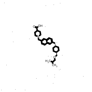 CC(C)COC[C@H]1CC[C@H](Cc2ccc3cc(CN4CCC(C(=O)O)CC4)ccc3c2)CC1